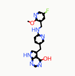 COc1ncc(F)cc1CNc1ccc(Cc2c[nH]c3ncnc(O)c23)cn1